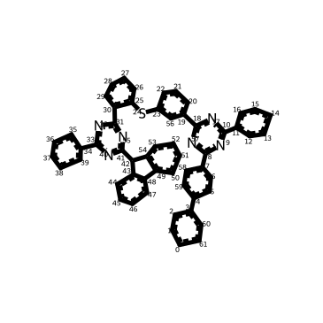 c1ccc(-c2ccc(-c3nc(-c4ccccc4)nc(-c4cccc(Sc5ccccc5-c5nc(-c6ccccc6)nc(C6c7ccccc7-c7ccccc76)n5)c4)n3)cc2)cc1